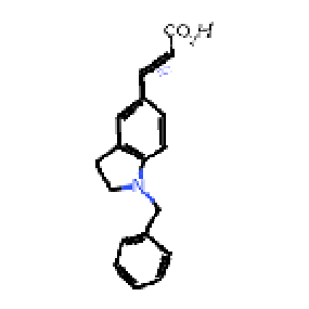 O=C(O)/C=C/c1ccc2c(c1)CCN2Cc1ccccc1